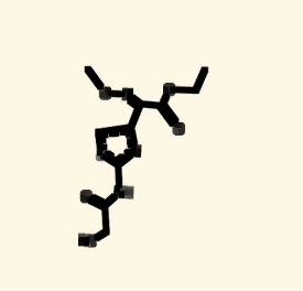 CCOC(=O)/C(=N/OC)c1csc(NC(=O)CS)n1